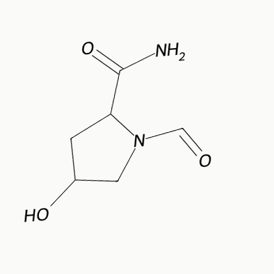 NC(=O)C1CC(O)CN1C=O